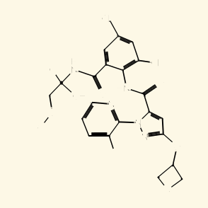 COCC(C)(C)NC(=O)c1cc(Cl)cc(Cl)c1NC(=O)c1cc(OC2CSC2)nn1-c1ncccc1Cl